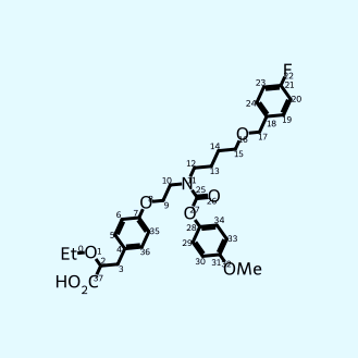 CCOC(Cc1ccc(OCCN(CCCCOCc2ccc(F)cc2)C(=O)Oc2ccc(OC)cc2)cc1)C(=O)O